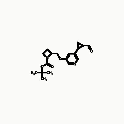 CC(C)(C)OC(=O)N1CC[C@H]1COc1cncc(C2C[C@H]2C=O)c1